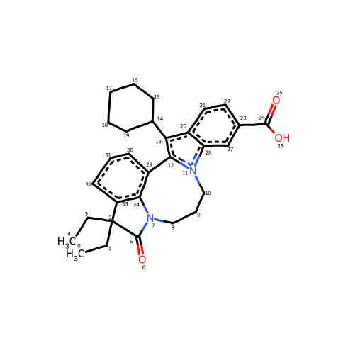 CCC1(CC)C(=O)N2CCCn3c(c(C4CCCCC4)c4ccc(C(=O)O)cc43)-c3cccc1c32